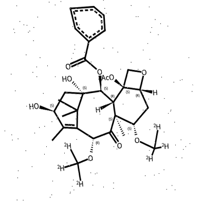 [2H]C([2H])([2H])O[C@H]1C(=O)[C@]2(C)[C@@H](OC([2H])([2H])[2H])C[C@H]3OC[C@@]3(OC(C)=O)[C@H]2[C@H](OC(=O)c2ccccc2)[C@]2(O)C[C@H](O)C(C)=C1C2(C)C